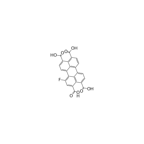 O=C(O)c1ccc2c3ccc(C(=O)O)c4c(C(=O)O)cc(F)c(c5ccc(C(=O)O)c1c25)c43